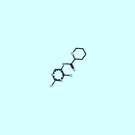 O=C(Nc1cnc(Cl)nc1Cl)C1CCCCO1